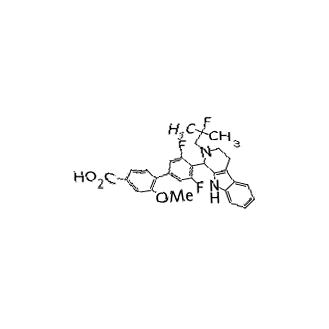 COc1cc(C(=O)O)ccc1-c1cc(F)c(C2c3[nH]c4ccccc4c3CCN2CC(C)(C)F)c(F)c1